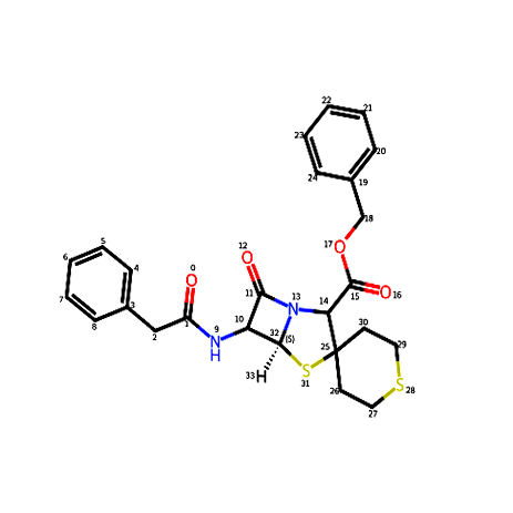 O=C(Cc1ccccc1)NC1C(=O)N2C(C(=O)OCc3ccccc3)C3(CCSCC3)S[C@@H]12